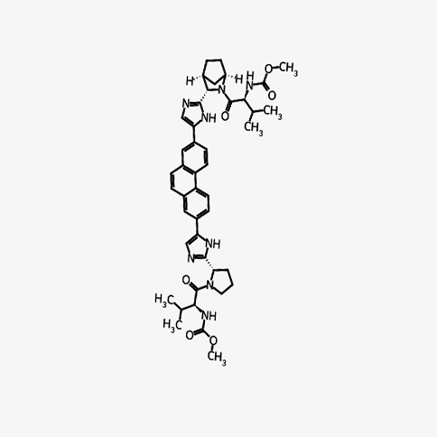 COC(=O)N[C@H](C(=O)N1CCC[C@H]1c1ncc(-c2ccc3c(ccc4cc(-c5cnc([C@@H]6[C@H]7CC[C@H](C7)N6C(=O)[C@@H](NC(=O)OC)C(C)C)[nH]5)ccc43)c2)[nH]1)C(C)C